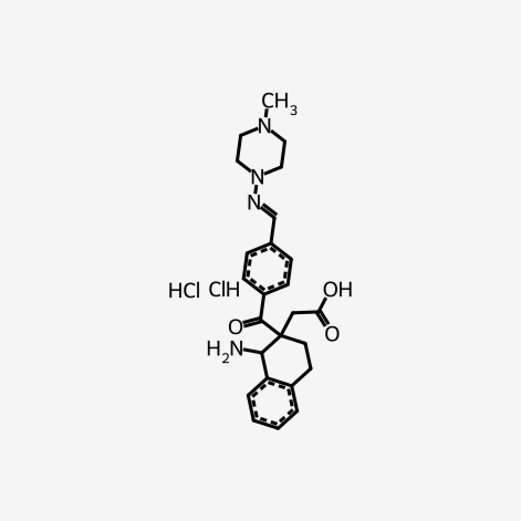 CN1CCN(N=Cc2ccc(C(=O)C3(CC(=O)O)CCc4ccccc4C3N)cc2)CC1.Cl.Cl